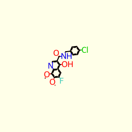 COc1c(F)cc2c(O)c(C(=O)NCc3ccc(Cl)cc3)cnc2c1OC